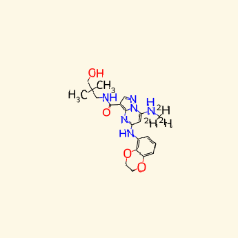 [2H]C([2H])([2H])Nc1cc(Nc2cccc3c2OCCO3)nc2c(C(=O)NCC(C)(C)CO)cnn12